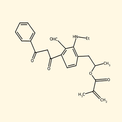 C=C(C)C(=O)OC(C)Cc1ccc(C(=O)CC(=O)c2ccccc2)c(C=O)c1NCC